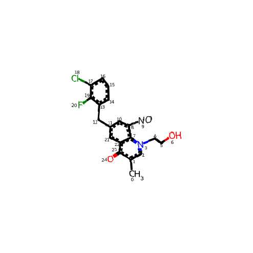 Cc1cn(CCO)c2c(N=O)cc(Cc3cccc(Cl)c3F)cc2c1=O